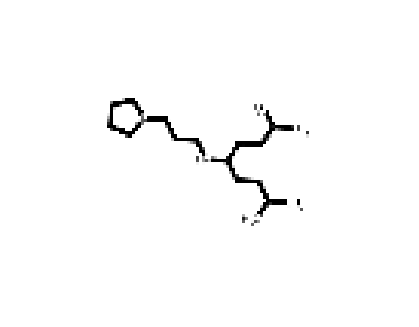 CC(C)CCC(CCC(C)C)NCCCN1CCCC1